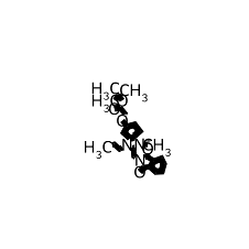 CCCn1c(CN2C(=O)c3ccccc3C2=O)[n+](C)c2ccc(OCC(=O)OC(C)(C)C)cc21